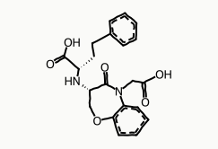 O=C(O)CN1C(=O)[C@@H](N[C@@H](CCc2ccccc2)C(=O)O)COc2ccccc21